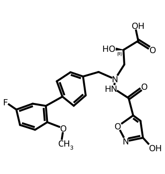 COc1ccc(F)cc1-c1ccc(CN(C[C@@H](O)C(=O)O)NC(=O)c2cc(O)no2)cc1